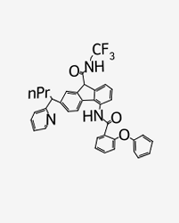 CCCC(c1ccc2c(c1)C(C(=O)NCC(F)(F)F)c1cccc(NC(=O)c3ccccc3Oc3ccccc3)c1-2)c1ccccn1